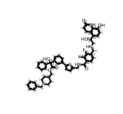 O=C(NCc1ccc(-c2cccc([C@](O)(C(=O)OCC3CCN(Cc4ccccc4)CC3)c3ccccc3)c2)s1)c1ccc(CNC[C@H](O)c2ccc(O)c3[nH]c(=O)ccc23)c(F)c1F